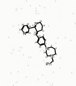 CC(C)CN1CCCN(c2ccc(C=C3CCCN=C3c3cccnc3)cc2)CC1